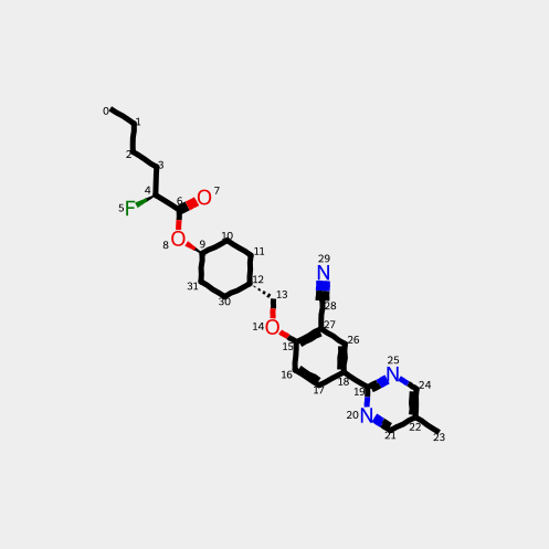 CCCC[C@H](F)C(=O)O[C@H]1CC[C@H](COc2ccc(-c3ncc(C)cn3)cc2C#N)CC1